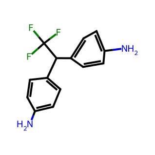 Nc1ccc(C(c2ccc(N)cc2)C(F)(F)F)cc1